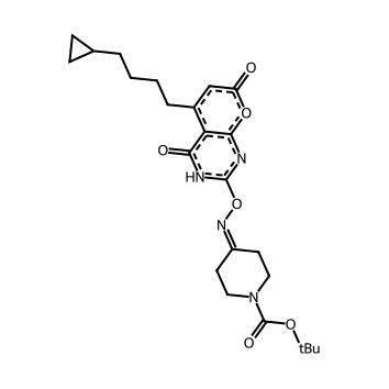 CC(C)(C)OC(=O)N1CCC(=NOc2nc3oc(=O)cc(CCCCC4CC4)c3c(=O)[nH]2)CC1